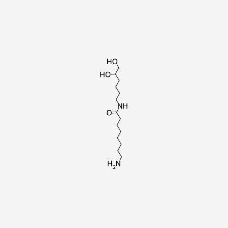 NCCCCCCCC(=O)NCCCCC(O)CO